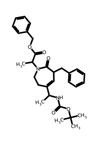 CC(NC(=O)OC(C)(C)C)C1=CC(Cc2ccccc2)C(=O)N(C(C)C(=O)OCc2ccccc2)CC1